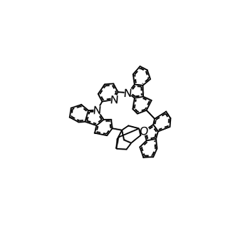 c1cc(-n2c3ccccc3c3cc(-c4cccc5c4oc4ccccc45)ccc32)nc(-n2c3ccccc3c3ccc(C45CC6CC(CC(C6)C4)C5)cc32)c1